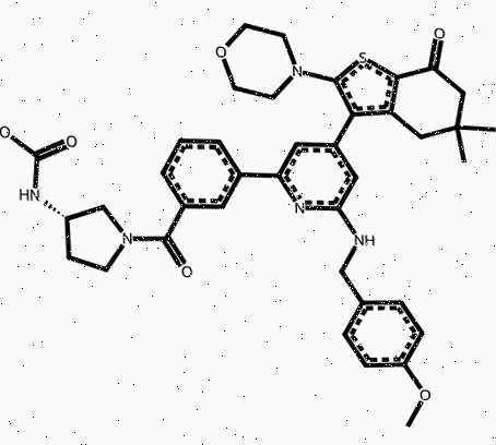 COc1ccc(CNc2cc(-c3c(N4CCOCC4)sc4c3CC(C)(C)CC4=O)cc(-c3cccc(C(=O)N4CC[C@H](NC(=O)O)C4)c3)n2)cc1